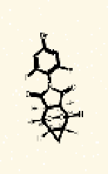 O=C1[C@@H]2[C@@H]3CC[C@@H]([C@@H]4C[C@@H]43)[C@@H]2C(=O)N1c1c(F)cc(Br)cc1F